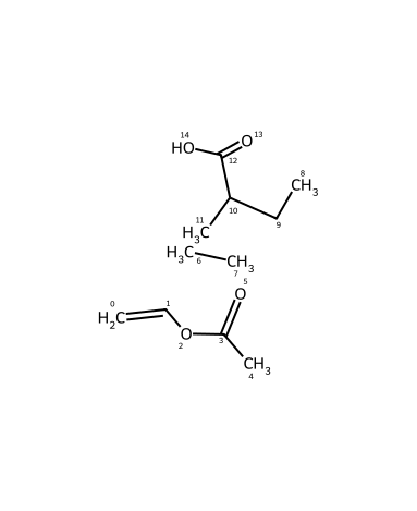 C=COC(C)=O.CC.CCC(C)C(=O)O